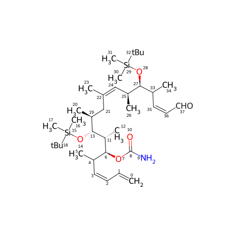 C=C/C=C\C(C)[C@H](OC(N)=O)[C@@H](C)[C@H](O[Si](C)(C)C(C)(C)C)[C@@H](C)C/C(C)=C\[C@H](C)[C@@H](O[Si](C)(C)C(C)(C)C)C(C)/C=C\C=O